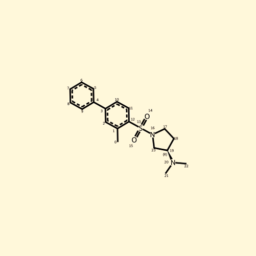 Cc1cc(-c2ccccc2)ccc1S(=O)(=O)N1CC[C@@H](N(C)C)C1